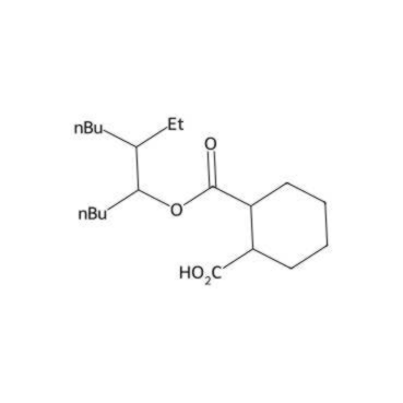 CCCCC(CC)C(CCCC)OC(=O)C1CCCCC1C(=O)O